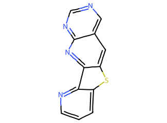 c1cnc2c(c1)sc1cc3cncnc3nc12